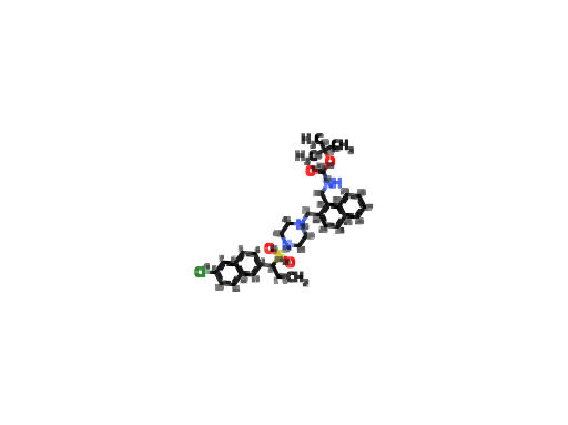 C=CC(c1ccc2cc(Cl)ccc2c1)S(=O)(=O)N1CCN(Cc2ccc3ccccc3c2CNC(=O)OC(C)(C)C)CC1